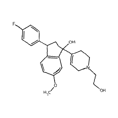 COc1ccc2c(c1)C(O)(C1=CCN(CCO)CC1)CC2c1ccc(F)cc1